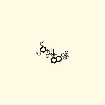 COc1cc(NC(=O)Nc2cccc3ccc(OS(C)(=O)=O)cc23)cc(OC)c1